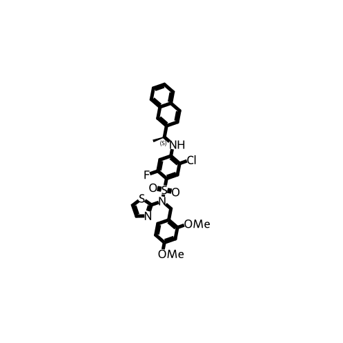 COc1ccc(CN(c2nccs2)S(=O)(=O)c2cc(Cl)c(N[C@@H](C)c3ccc4ccccc4c3)cc2F)c(OC)c1